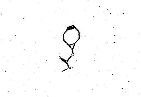 CNC(=O)OC1C2CCC#CCCC21